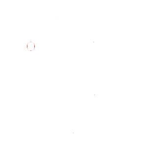 C=C(C)c1ccoc1